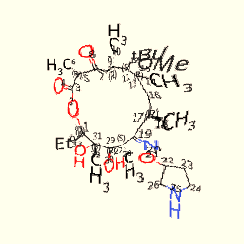 CC[C@H]1OC(=O)[C@H](C)C(=O)[C@H](C)[C@@H](C(C)(C)C)[C@](C)(OC)C[C@@H](C)C(=NOC2CCNC2)[C@H](C)[C@@H](O)[C@]1(C)O